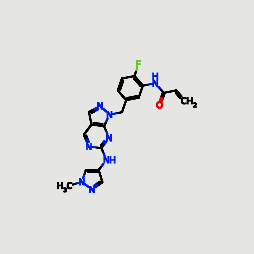 C=CC(=O)Nc1cc(Cn2ncc3cnc(Nc4cnn(C)c4)nc32)ccc1F